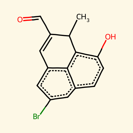 CC1C(C=O)=Cc2cc(Br)cc3ccc(O)c1c23